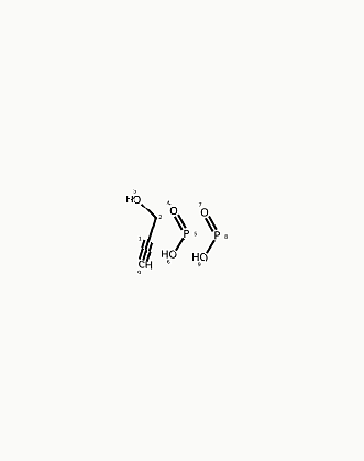 C#CCO.O=PO.O=PO